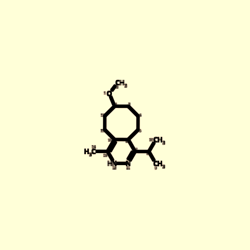 COC1CCCC2C(C(C)C)=NNC(C)=C2CC1